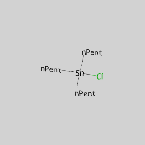 CCCC[CH2][Sn]([Cl])([CH2]CCCC)[CH2]CCCC